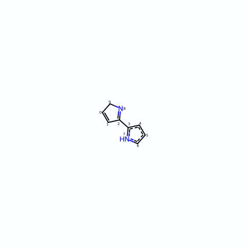 C1=CC(c2ccc[nH]2)=NC1